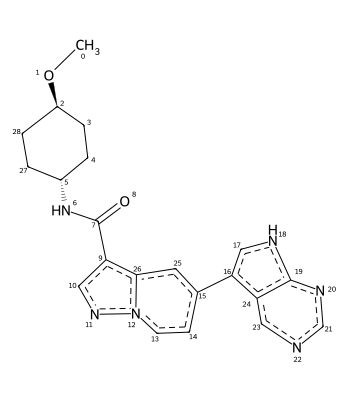 CO[C@H]1CC[C@H](NC(=O)c2cnn3ccc(-c4c[nH]c5ncncc45)cc23)CC1